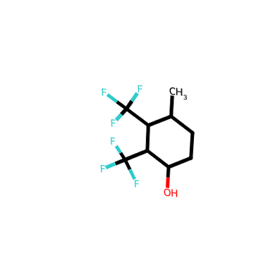 CC1CCC(O)C(C(F)(F)F)C1C(F)(F)F